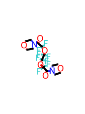 O=C(N1CCOCC1)C(F)(F)OC(F)(F)C(F)(F)OC(F)(F)C(=O)N1CCOCC1